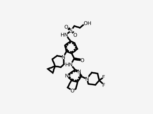 O=C(Nc1nc2c(c(N3CCC(F)(F)CC3)n1)COC2)c1ccc(NS(=O)(=O)CCO)cc1N1CCC2(CC1)CC2